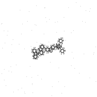 c1ccc(-c2nc(-c3ccccc3)nc(-c3ccc4c(c3)oc3ccc(-c5cccc6sc7c(-n8c9ccccc9c9ccccc98)cccc7c56)cc34)n2)cc1